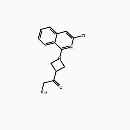 CC(C)(C)CC(=O)C1CN(c2nc(Cl)cc3ccccc23)C1